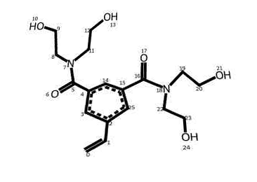 C=Cc1cc(C(=O)N(CCO)CCO)cc(C(=O)N(CCO)CCO)c1